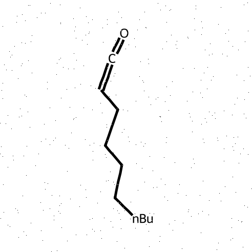 [CH2]CCCCCCCC=C=O